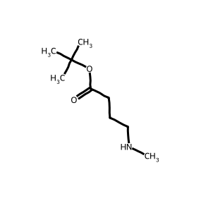 CNCCCC(=O)OC(C)(C)C